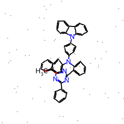 Cc1ccc(N(c2ccc(-n3c4ccccc4c4ccccc43)cc2)c2ccccc2-c2nc(-c3ccccc3)nc(-c3ccccc3)n2)cc1